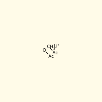 CC(=O)[O-].CC(C)=O.[Li+]